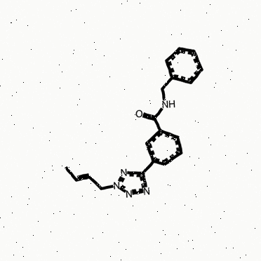 CC=CCn1nnc(-c2cccc(C(=O)NCc3ccccc3)c2)n1